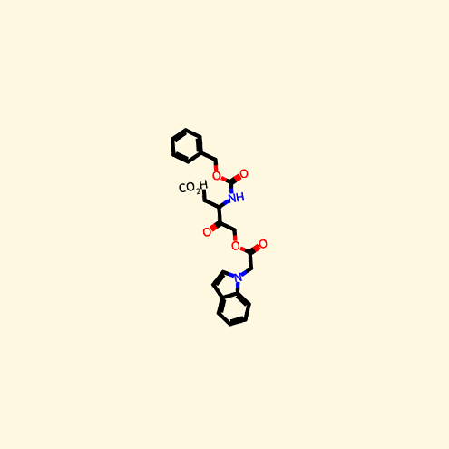 O=C(O)CC(NC(=O)OCc1ccccc1)C(=O)COC(=O)Cn1ccc2ccccc21